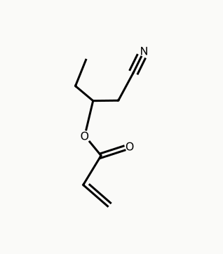 C=CC(=O)OC(CC)CC#N